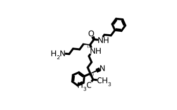 CC(C)[C@@](C#N)(CCCN[C@@H](CCCCN)C(=O)NCCc1ccccc1)c1ccccc1